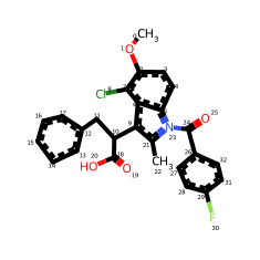 COc1ccc2c(c1Cl)c(C(Cc1ccccc1)C(=O)O)c(C)n2C(=O)c1ccc(F)cc1